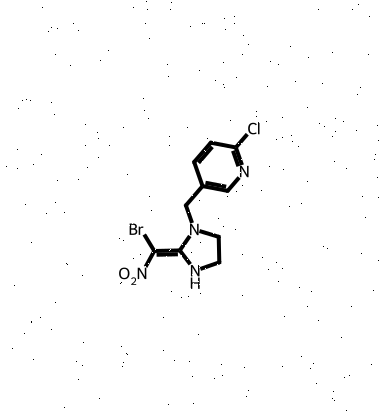 O=[N+]([O-])/C(Br)=C1\NCCN1Cc1ccc(Cl)nc1